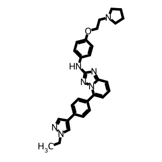 CCn1cc(-c2ccc(-c3cccc4nc(Nc5ccc(OCCN6CCCC6)cc5)nn34)cc2)cn1